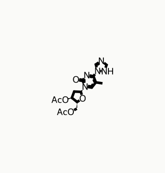 CC(=O)OC[C@H]1O[C@@H](n2cc(C)c(N3C=NCN3)nc2=O)C[C@H]1OC(C)=O